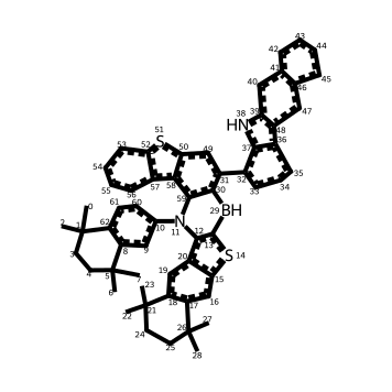 CC1(C)CCC(C)(C)c2cc(N3c4c(sc5cc6c(cc45)C(C)(C)CCC6(C)C)Bc4c(-c5cccc6c5[nH]c5cc7ccccc7cc56)cc5sc6ccccc6c5c43)ccc21